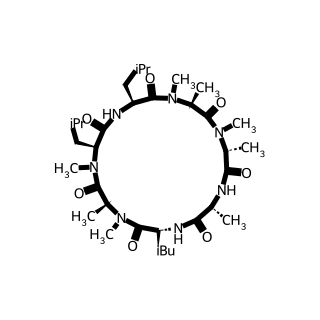 CC[C@H](C)[C@H]1NC(=O)[C@@H](C)NC(=O)[C@@H](C)N(C)C(=O)[C@H](C)N(C)C(=O)[C@H](CC(C)C)NC(=O)[C@H](CC(C)C)N(C)C(=O)[C@H](C)N(C)C1=O